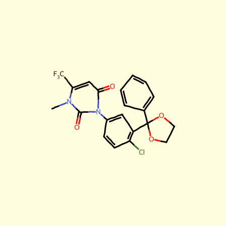 Cn1c(C(F)(F)F)cc(=O)n(-c2ccc(Cl)c(C3(c4ccccc4)OCCO3)c2)c1=O